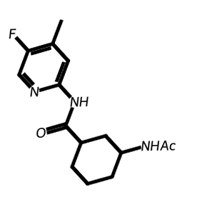 CC(=O)NC1CCCC(C(=O)Nc2cc(C)c(F)cn2)C1